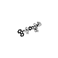 CC(C)(NC(=O)C(Cc1ccc(NC(=O)OCC2c3ccccc3-c3ccccc32)cc1)NC(=O)O)C(N)=O